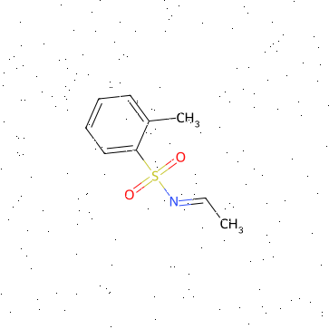 CC=NS(=O)(=O)c1ccccc1C